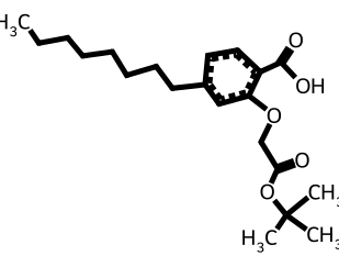 CCCCCCCCc1ccc(C(=O)O)c(OCC(=O)OC(C)(C)C)c1